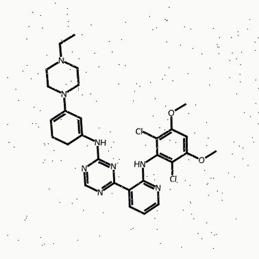 CCN1CCN(C2=CCCC(Nc3ncnc(-c4cccnc4Nc4c(Cl)c(OC)cc(OC)c4Cl)n3)=C2)CC1